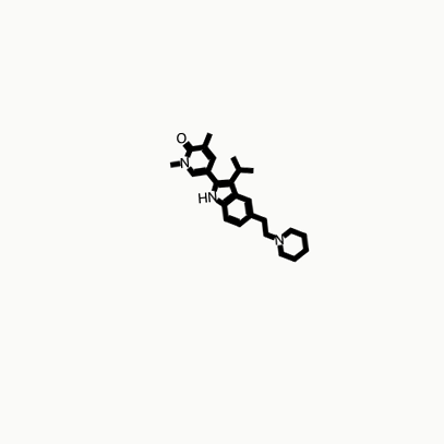 Cc1cc(-c2[nH]c3ccc(CCN4CCCCC4)cc3c2C(C)C)cn(C)c1=O